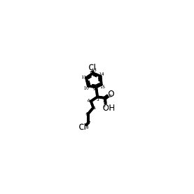 O=C(O)C(CCCCCl)c1ccc(Cl)cc1